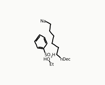 CCCCCCCCCCCCCCC[CH2][Na].CCO.O=S(=O)(O)c1ccccc1